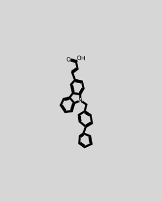 O=C(O)/C=C/c1ccc2c(c1)c1ccccc1n2Cc1ccc(-c2ccccc2)cc1